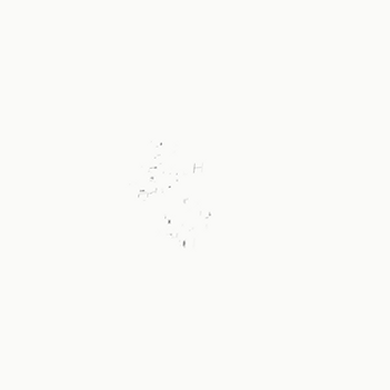 CC12CC(C(C)(C)CC3CCC4(C(C)(C)C)CCOC34)(C1)C1(COC1)O2